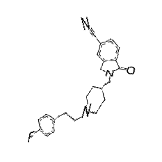 N#Cc1ccc2c(c1)CN(CC1CCN(CCc3ccc(F)cc3)CC1)C2=O